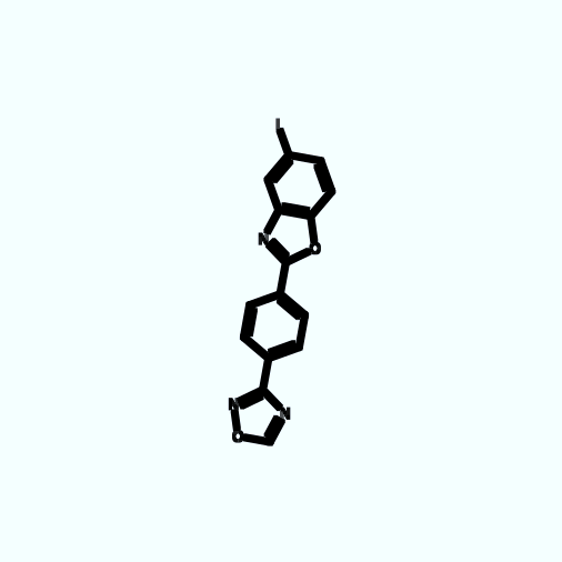 Ic1ccc2oc(-c3ccc(-c4ncon4)cc3)nc2c1